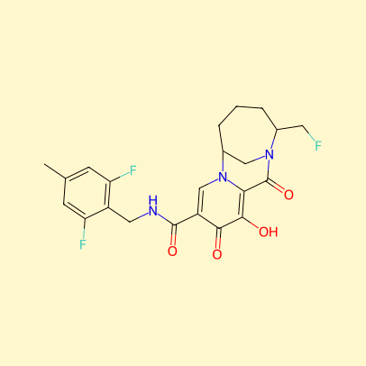 Cc1cc(F)c(CNC(=O)c2cn3c(c(O)c2=O)C(=O)N2CC3CCCC2CF)c(F)c1